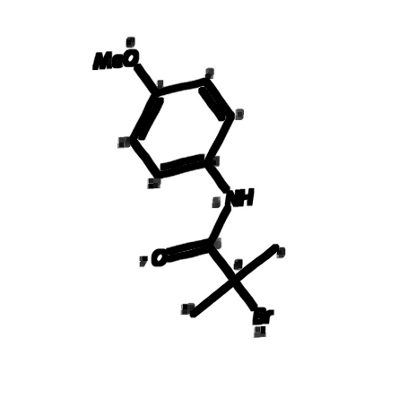 COc1ccc(NC(=O)C(C)(C)Br)cc1